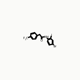 O=C(Cc1ccc(C(F)(F)F)cc1)Nc1ccc(Br)cc1I